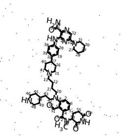 CN(C(=O)c1cccc(N(CCCCN2CCC(c3ccc(Nc4nc(N5CCCCC5)cnc4C(N)=O)cc3)CC2)CCC2CCNCC2)c1C=O)C1CCC(=O)NC1=O